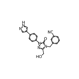 N#Cc1cccc(Cn2c(CO)nn(-c3ccc(-c4cn[nH]c4)cc3)c2=O)c1